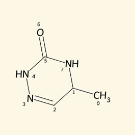 CC1C=NNC(=O)N1